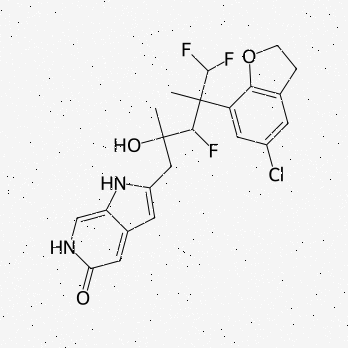 CC(O)(Cc1cc2cc(=O)[nH]cc2[nH]1)C(F)C(C)(c1cc(Cl)cc2c1OCC2)C(F)F